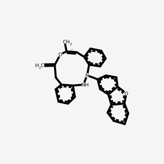 C=C1Cc2ccccc2NN(c2ccc3oc4ccccc4c3c2)c2ccccc2/C=C(/C)O1